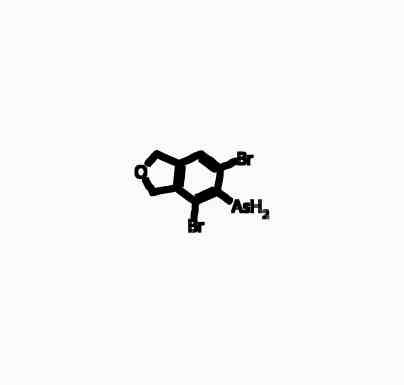 [AsH2]c1c(Br)cc2c(c1Br)COC2